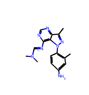 Cc1cc(N)ccc1-n1nc(C)c2ncnc(/N=C/N(C)C)c21